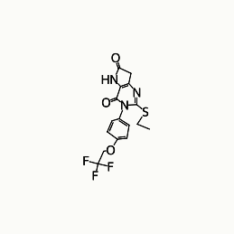 CCSc1nc2c(c(=O)n1-c1ccc(OCC(F)(F)F)cc1)NC(=O)C2